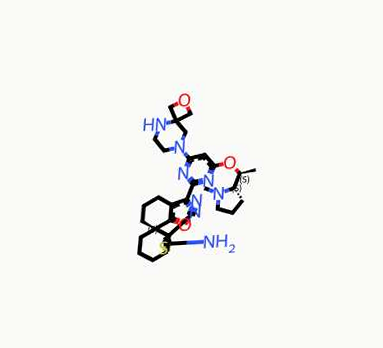 C[C@H](Oc1cc(N2CCNC3(COC3)C2)nc(-c2noc3c2CCC[C@@]32CCCc3sc(N)c(C#N)c32)n1)[C@@H]1CCCN1C